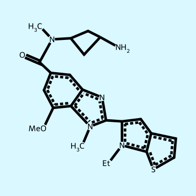 CCn1c(-c2nc3cc(C(=O)N(C)C4CC(N)C4)cc(OC)c3n2C)cc2ccsc21